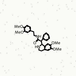 COc1ccc(CCNC(=O)C(c2ccccc2)C2NCCc3cc(OC)c(OC)cc32)cc1OC